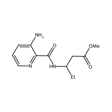 CCC(CC(=O)OC)NC(=O)c1ncccc1N